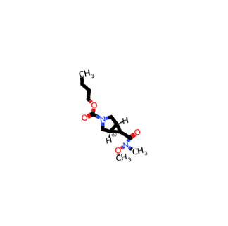 CCCCOC(=O)N1C[C@@H]2C(C(=O)N(C)OC)[C@@H]2C1